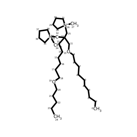 CCCCCCCCCCOCC(CCCCCCOCCCCC)(C[N+]1(C)CCCC1)C[N+]1(C)CCCC1